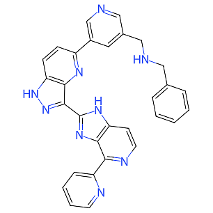 c1ccc(CNCc2cncc(-c3ccc4[nH]nc(-c5nc6c(-c7ccccn7)nccc6[nH]5)c4n3)c2)cc1